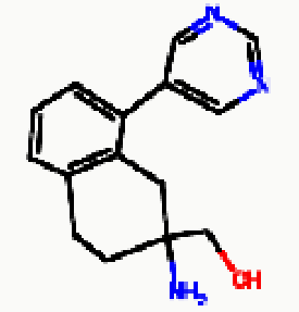 NC1(CO)CCc2cccc(-c3cncnc3)c2C1